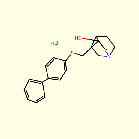 Cl.OC1(CSc2ccc(-c3ccccc3)cc2)CN2CCC1CC2